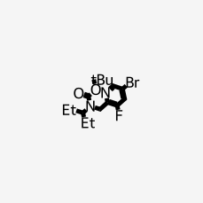 CCC(CC)N(Cc1ncc(Br)cc1F)C(=O)OC(C)(C)C